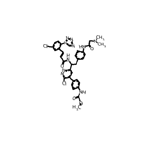 COC(=O)Nc1ccc(-c2cc(C(Cc3ccc(NC(=O)CN(C)C)cc3)NC(=O)/C=C/c3cc(Cl)ccc3-n3cnnn3)nnc2Cl)cc1